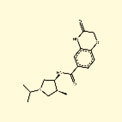 CC(C)N1C[C@H](C)[C@H](NC(=O)c2ccc3c(c2)NC(=O)CO3)C1